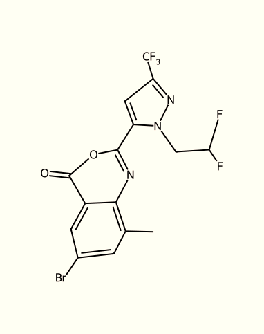 Cc1cc(Br)cc2c(=O)oc(-c3cc(C(F)(F)F)nn3CC(F)F)nc12